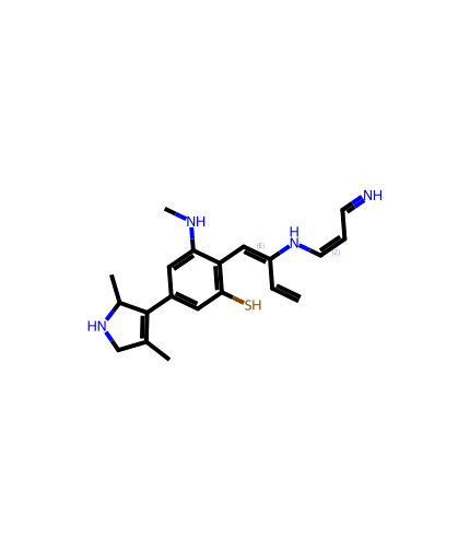 C=C/C(=C\c1c(S)cc(C2=C(C)CNC2C)cc1NC)N/C=C\C=N